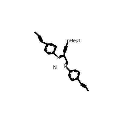 CC#Cc1ccc(N=CC(C#CCCCCCCC)=Nc2ccc(C#CC)cc2)cc1.[Ni]